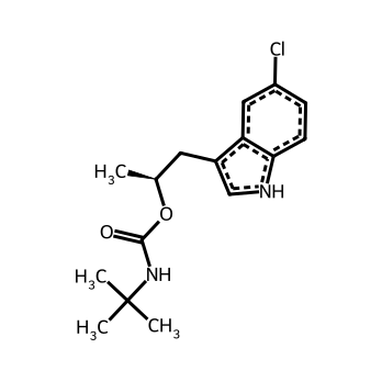 C[C@@H](Cc1c[nH]c2ccc(Cl)cc12)OC(=O)NC(C)(C)C